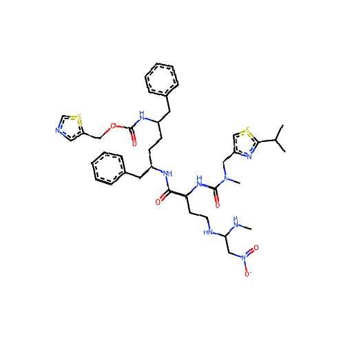 CNC(C[N+](=O)[O-])NCCC(NC(=O)N(C)Cc1csc(C(C)C)n1)C(=O)NC(CCC(Cc1ccccc1)NC(=O)OCc1cncs1)Cc1ccccc1